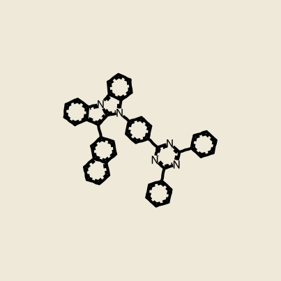 c1ccc(-c2nc(-c3ccccc3)nc(-c3ccc(-n4c5ccccc5n5c6ccccc6c(-c6ccc7ccccc7c6)c45)cc3)n2)cc1